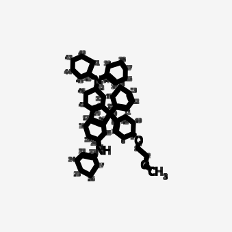 COCCOC1CC=C(C2(C3=CC=CCC3)C3=C(CCC(NC4=CCCCC4)C3)C3=C2CC(N(C2=CCCCC2)C2CCCCC2)CC3)CC1